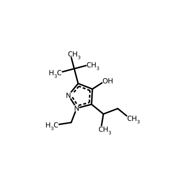 CCC(C)c1c(O)c(C(C)(C)C)nn1CC